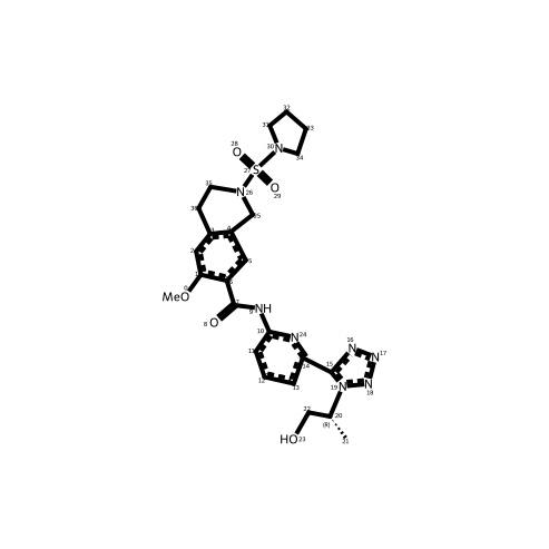 COc1cc2c(cc1C(=O)Nc1cccc(-c3nnnn3[C@H](C)CO)n1)CN(S(=O)(=O)N1CCCC1)CC2